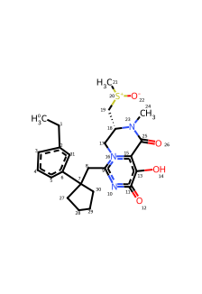 CCc1cccc(C2(Cc3nc(=O)c(O)c4n3C[C@H](C[S+](C)[O-])N(C)C4=O)CCCC2)c1